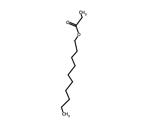 CCCCCCCCC[CH]OC(=O)CC